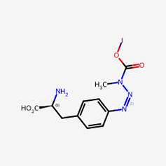 CN(/N=N\c1ccc(C[C@H](N)C(=O)O)cc1)C(=O)OI